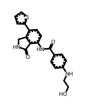 O=C(Nc1ccc(-c2cccs2)c2c1C(=O)NC2)c1ccc(NCCO)cc1